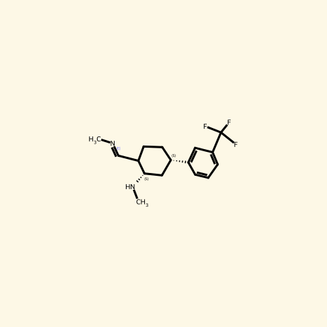 C/N=C/C1CC[C@H](c2cccc(C(F)(F)F)c2)C[C@@H]1NC